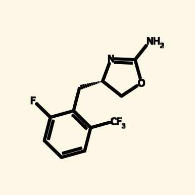 NC1=N[C@@H](Cc2c(F)cccc2C(F)(F)F)CO1